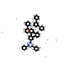 c1ccc(-c2cc(-c3ccccc3)cc(N(c3ccc4c5ccc(-c6nc(-c7ccccc7)nc(-c7ccccc7)n6)cc5c5ccccc5c4c3)c3ccccc3-c3ccccc3)c2)cc1